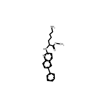 COC(=O)C(CCCCN)Nc1ccc2cc(-c3ccccc3)ccc2n1